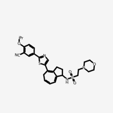 CC(C)Oc1ccc(-c2ncc(C3=C4CCC(NS(=O)(=O)CCN5CCOCC5)C4=CC=CC3)s2)cc1C#N